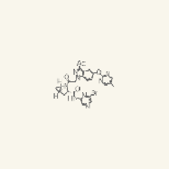 CC(=O)c1nn(CC(=O)N2[C@@H]3C[C@@H]3C[C@H]2C(=O)Nc2cncc(Br)n2)c2ccc(Oc3ncc(C)cn3)cc12